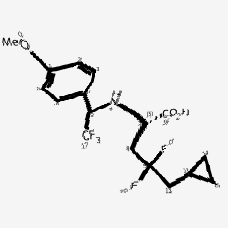 COc1ccc(C(N[C@@H](CC(F)(F)CC2CC2)C(=O)O)C(F)(F)F)cc1